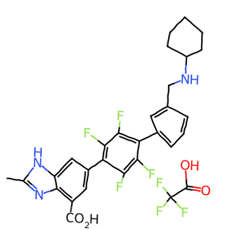 Cc1nc2c(C(=O)O)cc(-c3c(F)c(F)c(-c4cccc(CNC5CCCCC5)c4)c(F)c3F)cc2[nH]1.O=C(O)C(F)(F)F